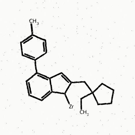 CCC1(CC2=Cc3c(-c4ccc(C)cc4)cccc3[CH]2[Zr])CCCC1